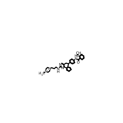 COc1ccccc1C(=O)Nc1ccc(C2Cc3cnc(NCCCN4CCN(C)CC4)nc3-c3ccccc32)cc1